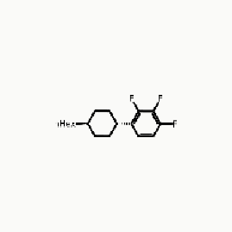 CCCCCC[C@H]1CC[C@H](c2ccc(F)c(F)c2F)CC1